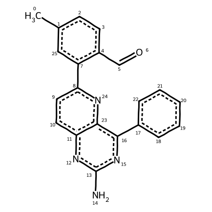 Cc1ccc(C=O)c(-c2ccc3nc(N)nc(-c4ccccc4)c3n2)c1